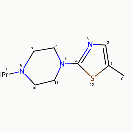 Cc1cnc(N2CCN(C(C)C)CC2)s1